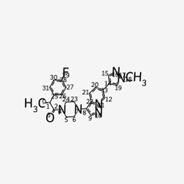 C[C@H](C(=O)N1CCN(c2cnn3cc(-c4cnn(C)c4)ccc23)CC1)c1ccc(F)cc1